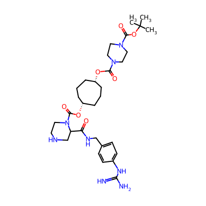 CC(C)(C)OC(=O)N1CCN(C(=O)O[C@H]2CCC[C@@H](OC(=O)N3CCNCC3C(=O)NCc3ccc(NC(=N)N)cc3)CCC2)CC1